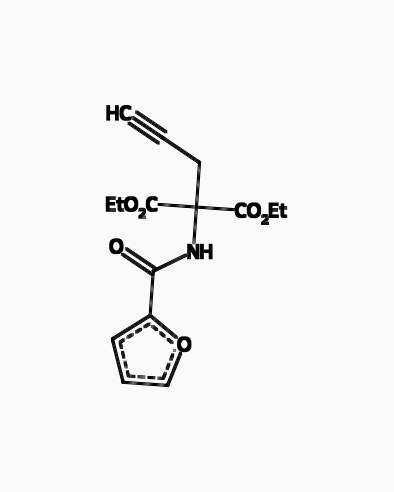 C#CCC(NC(=O)c1ccco1)(C(=O)OCC)C(=O)OCC